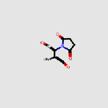 CCCC(=C=O)C(=C=O)N1C(=O)CCC1=O